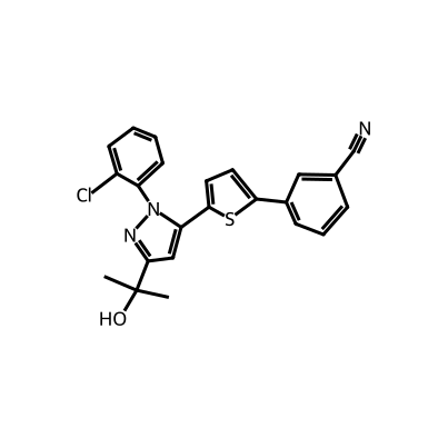 CC(C)(O)c1cc(-c2ccc(-c3cccc(C#N)c3)s2)n(-c2ccccc2Cl)n1